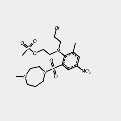 Cc1cc([N+](=O)[O-])cc(S(=O)(=O)N2CCCN(C)CC2)c1N(CCBr)CCOS(C)(=O)=O